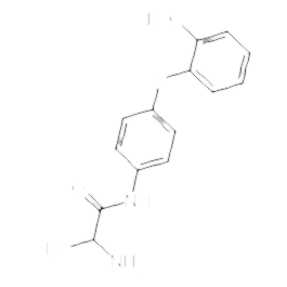 Cc1ccccc1Sc1ccc(NC(=O)C(C)N)cc1